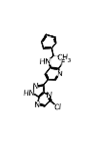 C[C@H](Nc1cc(-c2n[nH]c3ncc(Cl)nc23)cnc1F)c1ccccc1